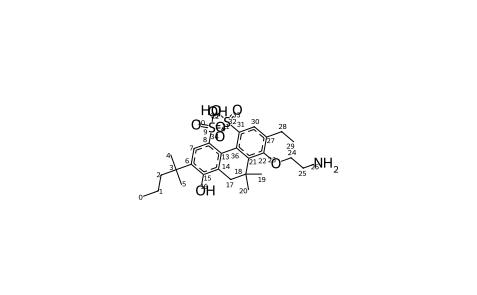 CCCC(C)(C)c1cc(S(=O)(=O)O)c2c(c1O)CC(C)(C)c1c(OCCN)c(CC)cc(S(=O)(=O)O)c1-2